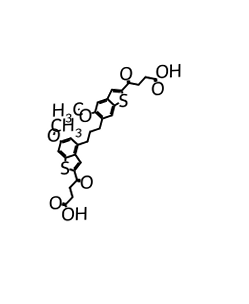 COc1cc(CCCc2cc3sc(C(=O)CCC(=O)O)cc3cc2OC)c2cc(C(=O)CCC(=O)O)sc2c1